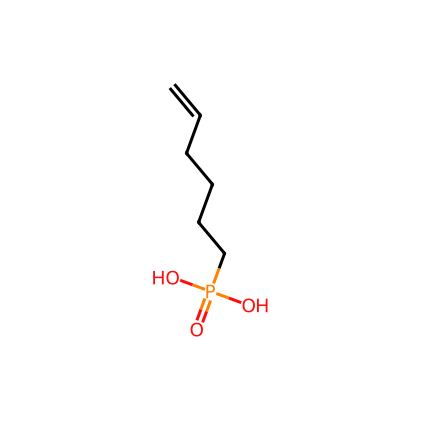 C=CCCCCP(=O)(O)O